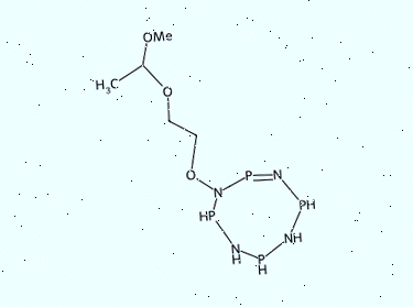 COC(C)OCCOn1pn[pH][nH][pH][nH][pH]1